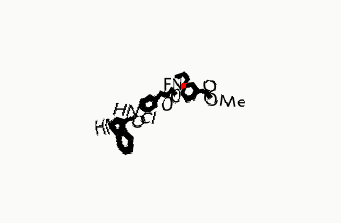 COC(=O)C1CCC(OC(F)(C(=O)Cc2ccc(NC(=O)c3c[nH]c4ccccc34)c(Cl)c2)N2CCCC2)CC1